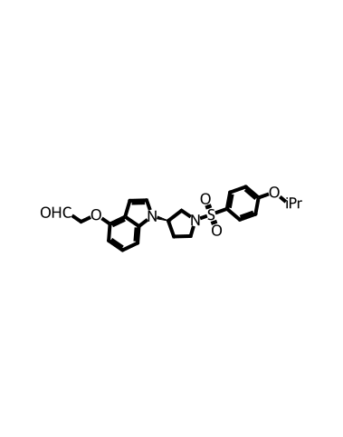 CC(C)Oc1ccc(S(=O)(=O)N2CC[C@@H](n3ccc4c(OCC=O)cccc43)C2)cc1